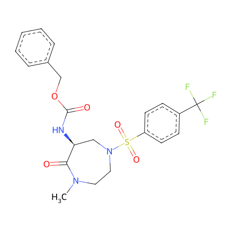 CN1CCN(S(=O)(=O)c2ccc(C(F)(F)F)cc2)C[C@H](NC(=O)OCc2ccccc2)C1=O